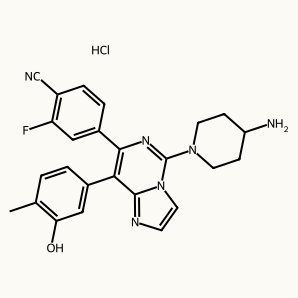 Cc1ccc(-c2c(-c3ccc(C#N)c(F)c3)nc(N3CCC(N)CC3)n3ccnc23)cc1O.Cl